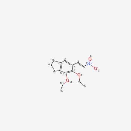 CCOc1c(C=C[N+](=O)[O-])cc2c(c1OCC)CCC2